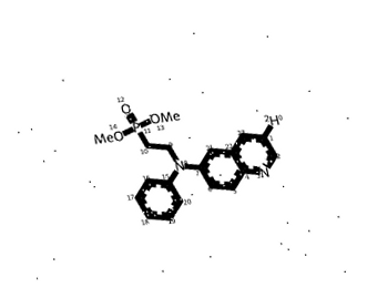 [2H]c1cnc2ccc(N(CCP(=O)(OC)OC)c3ccccc3)cc2c1